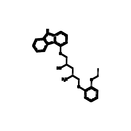 CCOc1ccccc1OCC(N)CC(O)COc1cccc2[nH]c3ccccc3c12